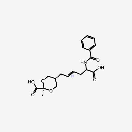 C[C@]1(C(=O)O)OC[C@@H](C/C=C/CC(NC(=O)c2ccccc2)C(=O)O)CO1